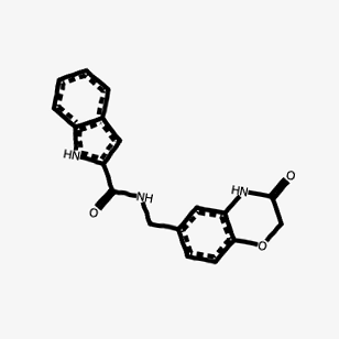 O=C1COc2ccc(CNC(=O)c3cc4ccccc4[nH]3)cc2N1